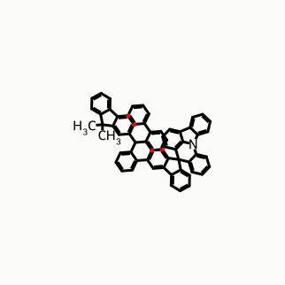 CC1(C)c2ccccc2-c2ccc(C(c3ccccc3-c3ccccc3)c3ccccc3-c3ccc4c(c3)-c3ccccc3C43c4ccccc4-n4c5ccccc5c5cccc3c54)cc21